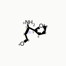 N/C(=C/C=O)c1ccco1